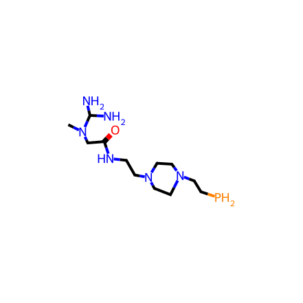 CN(CC(=O)NCCN1CCN(CCP)CC1)C(N)N